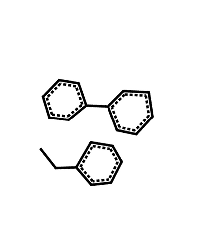 CCc1ccccc1.c1ccc(-c2ccccc2)cc1